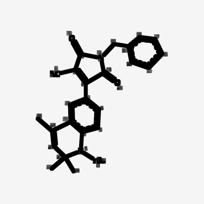 CCCCN1c2ccc(C3=C(C#N)C(=O)N(Cc4ccccc4)C3=O)cc2C(C)=CC1(C)C